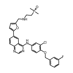 CP(C)(=O)CCNCc1ccc(-c2ccc3ncnc(Nc4ccc(OCc5cccc(F)c5)c(Cl)c4)c3c2)o1